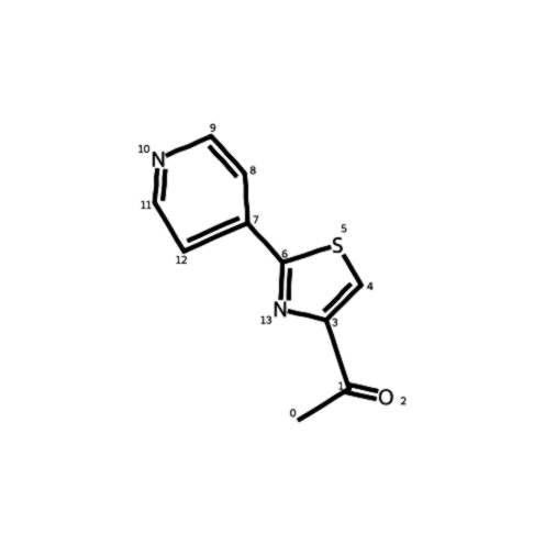 CC(=O)c1csc(-c2ccncc2)n1